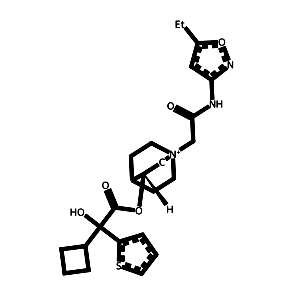 CCc1cc(NC(=O)C[N+]23CCC(CC2)[C@@H](OC(=O)C(O)(c2cccs2)C2CCC2)C3)no1